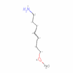 NCCCCCCCON=O